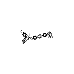 CCCc1ncnn1-c1ccc(N2CCN(c3ccc(OCC4COC(Cn5cncn5)(c5ccc(Cl)cc5Cl)O4)cc3)CC2)cc1